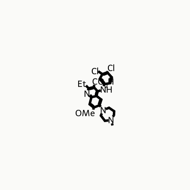 CCc1nc2cc(OC)c(N3CCCN(C)CC3)cc2c(Nc2ccc(Cl)c(Cl)c2)c1C(=O)O